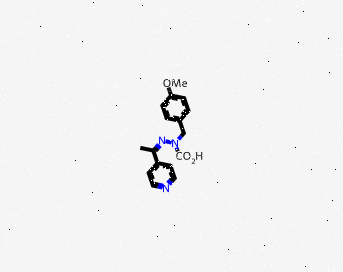 COc1ccc(CN(N=C(C)c2ccncc2)C(=O)O)cc1